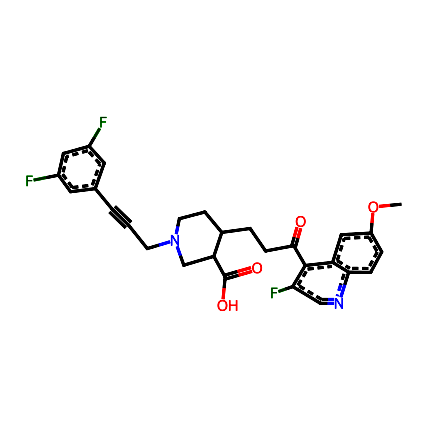 COc1ccc2ncc(F)c(C(=O)CCC3CCN(CC#Cc4cc(F)cc(F)c4)CC3C(=O)O)c2c1